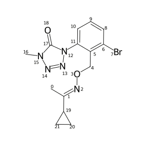 CC(=NOCc1c(Br)cccc1-n1nnn(C)c1=O)C1CC1